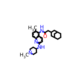 Cc1ccc2nc(NC3CCN(C)CC3)ccc2c1NC(=O)CC1CC2CCCC(C2)C1